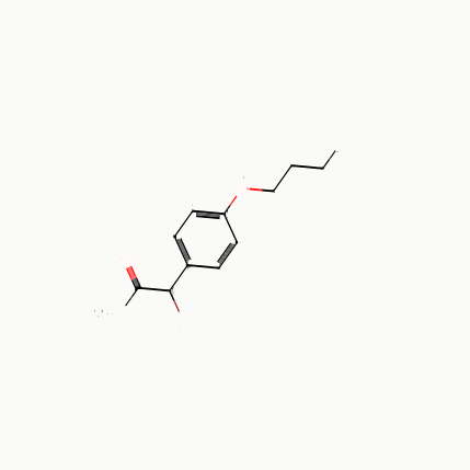 CCOC(=O)CCCOc1ccc(C(Br)C(=O)OC)cc1